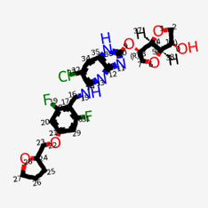 O[C@@H]1CO[C@H]2[C@@H]1OC[C@H]2Oc1nc2nc(NCc3c(F)cc(OCC4CCCO4)cc3F)c(Cl)cc2[nH]1